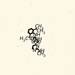 CNc1nccc(S(=O)(=O)NC(=O)Nc2c(C(C)C)cccc2C(C)C)n1